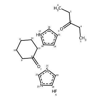 CCC(=O)CC.F.O=C1CCCCC1.c1cc[nH]c1.c1cscn1